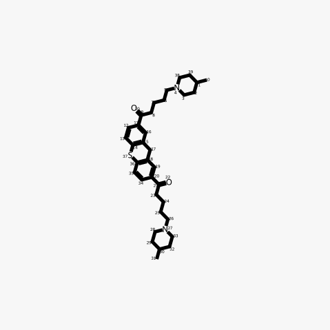 CC1CCN(CCCCC(=O)c2ccc3c(c2)Cc2cc(C(=O)CCCCN4CCC(C)CC4)ccc2S3)CC1